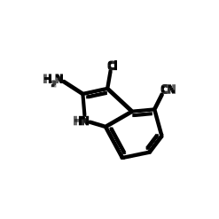 N#Cc1cccc2[nH]c(N)c(Cl)c12